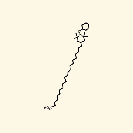 CC1(C)CC(CCCCCCCCCCCCCCCCCCCCCC(=O)O)CC(C)(C)N1OC1CCCCC1